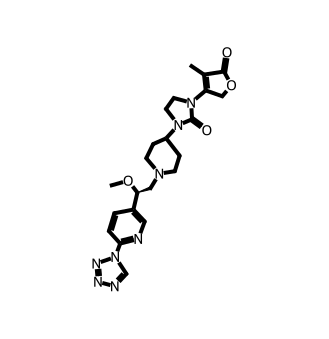 CO[C@@H](CN1CCC(N2CCN(C3=C(C)C(=O)OC3)C2=O)CC1)c1ccc(-n2cnnn2)nc1